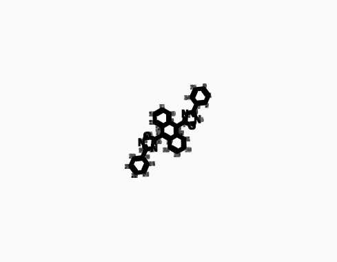 c1ccc(-c2noc(-c3c4ccccc4c(-c4nc(-c5ccccc5)no4)c4ccccc34)n2)cc1